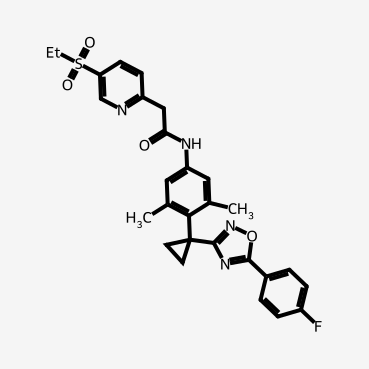 CCS(=O)(=O)c1ccc(CC(=O)Nc2cc(C)c(C3(c4noc(-c5ccc(F)cc5)n4)CC3)c(C)c2)nc1